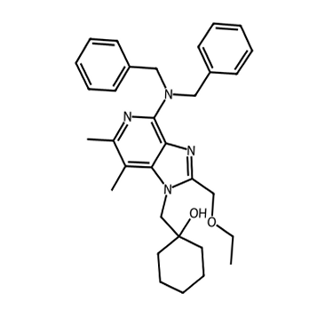 CCOCc1nc2c(N(Cc3ccccc3)Cc3ccccc3)nc(C)c(C)c2n1CC1(O)CCCCC1